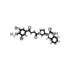 Nc1c(Br)cc(C(=O)CCC(=O)N2CCC(N3Cc4ccccc4NC3=O)C2)cc1Br